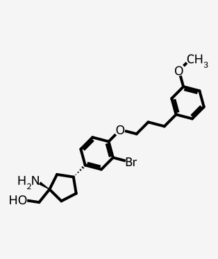 COc1cccc(CCCOc2ccc([C@@H]3CC[C@](N)(CO)C3)cc2Br)c1